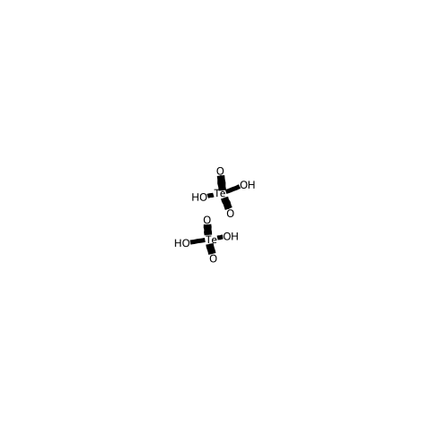 O=[Te](=O)(O)O.O=[Te](=O)(O)O